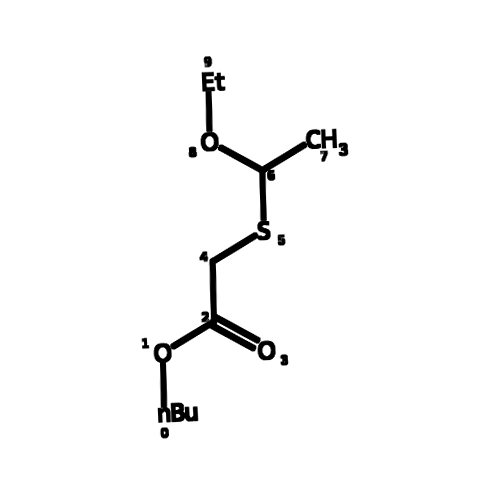 CCCCOC(=O)CSC(C)OCC